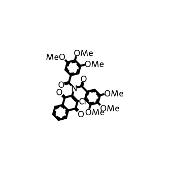 COc1cc(C(=O)N(C(=O)c2cc(OC)c(OC)c(OC)c2)C2=C(Cl)C(=O)c3ccccc3C2=O)cc(OC)c1OC